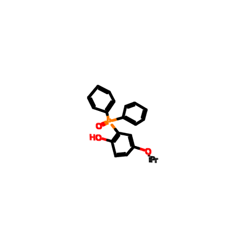 CC(C)Oc1ccc(O)c(P(=O)(c2ccccc2)c2ccccc2)c1